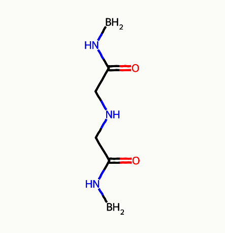 BNC(=O)CNCC(=O)NB